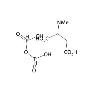 CNC(CC(=O)O)C(=O)O.O=[PH](O)O[PH](=O)O